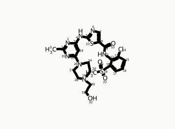 Cc1nc(Nc2ncc(C(=O)Nc3c(Cl)cccc3S(C)(=O)=O)s2)cc(N2CCN(CCO)CC2)n1